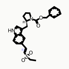 CCS(=O)(=O)/C=C/c1ccc2[nH]cc(C[C@H]3CCCN3C(=O)OCc3ccccc3)c2c1